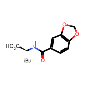 CC[C@H](C)[C@H](NC(=O)c1ccc2c(c1)OCO2)C(=O)O